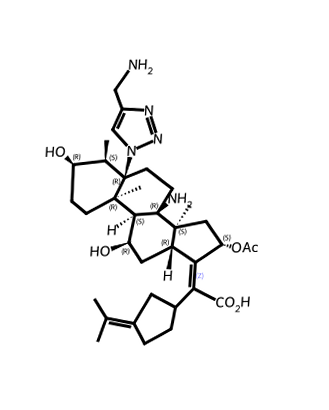 CC(=O)O[C@H]1C[C@@]2(C)[C@@H](C[C@@H](O)[C@@H]3[C@]2(N)CC[C@@]2(n4cc(CN)nn4)[C@H](C)[C@H](O)CC[C@]32C)/C1=C(/C(=O)O)C1CCC(=C(C)C)C1